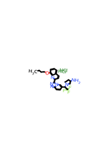 CCCCOc1cccc2ccc(-c3nnc4ccc(C(N5CCC(N)C5)C(F)(F)F)cn34)nc12.Cl.Cl